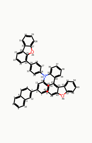 c1cc(-c2ccc3ccccc3c2)cc(N(c2ccc(-c3cccc4c3oc3ccccc34)cc2)c2ccccc2-c2cccc3oc4ccccc4c23)c1